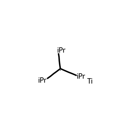 CC(C)[C](C(C)C)C(C)C.[Ti]